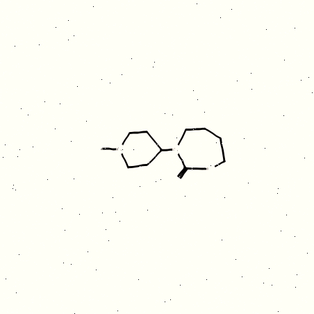 CC(C)(C)N1CCC(N2CCCCOC2=O)CC1